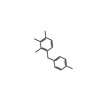 Cc1ccc(Cc2ccc(C)c(C)c2C)cc1